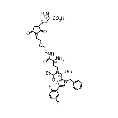 CCC(=O)N(CC[C@H](N)C(=O)NCCOCCN1C(=O)CC(SC[C@H](N)C(=O)O)C1=O)[C@@H](c1nc(-c2cc(F)ccc2F)cn1Cc1ccccc1)C(C)(C)C